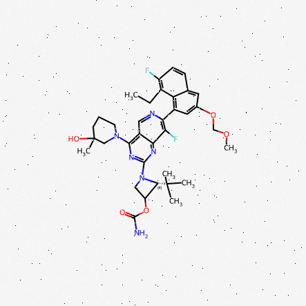 CCc1c(F)ccc2cc(OCOC)cc(-c3ncc4c(N5CCCC(C)(O)C5)nc(N5CC(OC(N)=O)[C@H]5C(C)(C)C)nc4c3F)c12